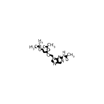 CC(=O)Nc1ncc2ncn(COC(CCOC(C)C)OC(C)C)c2n1